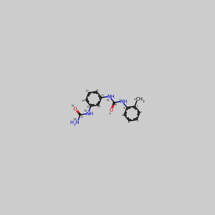 Cc1ccccc1NC(=O)Nc1cccc(NC(N)=O)c1